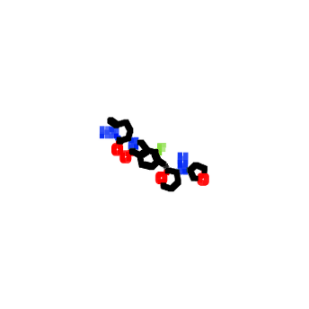 C=C1CCC(N2Cc3c(ccc(C[C@H]4OCCC[C@@H]4N[C@@H]4CCOC4)c3F)C2=O)C(=O)N1